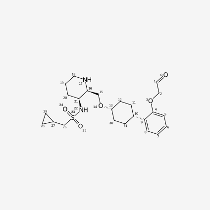 O=CCOc1ccccc1[C@H]1CC[C@@H](OC[C@@H]2NCCC[C@@H]2NS(=O)(=O)CC2CC2)CC1